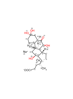 C[C@H](CCC(=O)[O-])[C@H]1CC[C@H]2[C@@H]3[C@H](O)C(=O)[C@@H]4CC(O)(O)CC[C@]4(C)[C@H]3C[C@H](O)[C@]12C.[Na+]